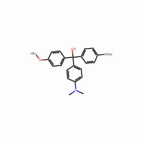 CCCCOc1ccc(C(O)(c2ccc(OC)cc2)c2ccc(N(C)C)cc2)cc1